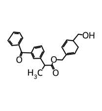 CC(C(=O)OCC1=CCC(CO)C=C1)c1cccc(C(=O)c2ccccc2)c1